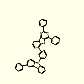 c1ccc(-c2ccc3c(c2)c2ccccc2n3-c2cccc(-c3cccc4c3sc3c(-c5ccccc5)nc(-c5ccccc5)nc34)c2)cc1